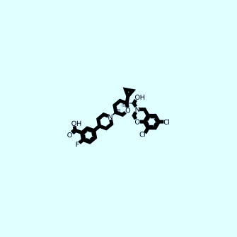 O=C(O)c1cc(C2CCN([C@@H]3CC[C@](C4CC4)(C(O)N4COc5c(Cl)cc(Cl)cc5C4)OC3)CC2)ccc1F